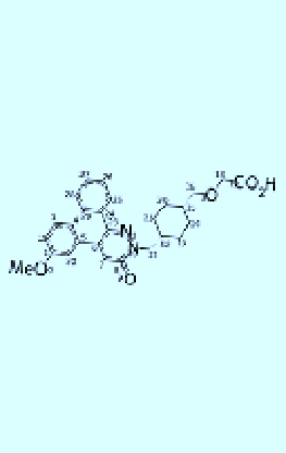 COc1cccc(-c2cc(=O)n(C[C@H]3CC[C@@H](COCC(=O)O)CC3)nc2-c2ccccc2)c1